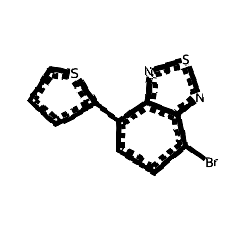 Brc1ccc(-c2cccs2)c2nsnc12